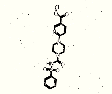 O=C(OCl)c1ccc(N2CCN(C(=O)NS(=O)(=O)c3ccccc3)CC2)nc1